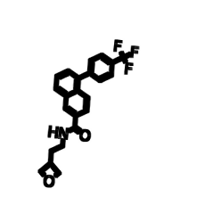 O=C(NCCC1COC1)c1ccc2c(-c3ccc(C(F)(F)F)cc3)cccc2c1